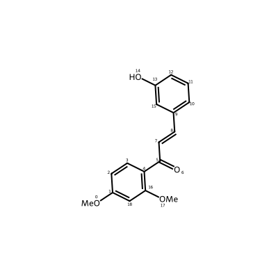 COc1ccc(C(=O)/C=C/c2cccc(O)c2)c(OC)c1